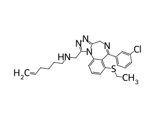 C=CCCCCNCc1nnc2n1-c1cccc(SCC)c1C(c1cccc(Cl)c1)=NC2